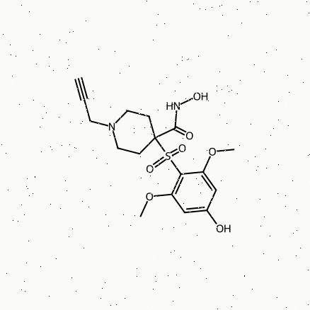 C#CCN1CCC(C(=O)NO)(S(=O)(=O)c2c(OC)cc(O)cc2OC)CC1